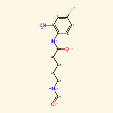 Nc1cc(F)ccc1NC(=O)CCCCNC=O